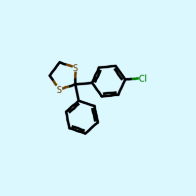 Clc1ccc(C2(c3ccccc3)SCCS2)cc1